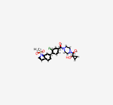 CS(=O)(=O)n1ccc2ccc(-c3ccc(C(=O)N4CCN(C(=O)C5(O)CC5)CC4)cc3F)cc21